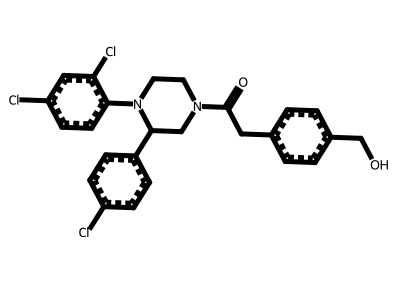 O=C(Cc1ccc(CO)cc1)N1CCN(c2ccc(Cl)cc2Cl)C(c2ccc(Cl)cc2)C1